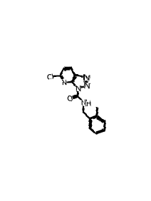 Cc1ccccc1CNC(=O)n1nnc2ccc(Cl)nc21